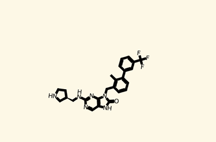 Cc1c(Cn2c(=O)[nH]c3cnc(NC[C@@H]4CCNC4)nc32)cccc1-c1cccc(C(F)(F)F)c1